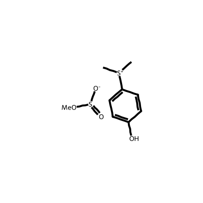 COS(=O)[O-].C[S+](C)c1ccc(O)cc1